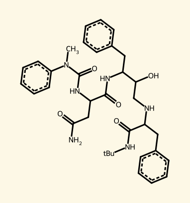 CN(C(=O)NC(CC(N)=O)C(=O)NC(Cc1ccccc1)C(O)CNC(Cc1ccccc1)C(=O)NC(C)(C)C)c1ccccc1